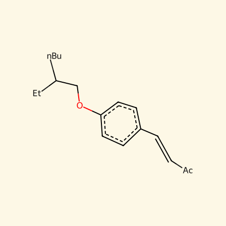 CCCCC(CC)COc1ccc(/C=C/C(C)=O)cc1